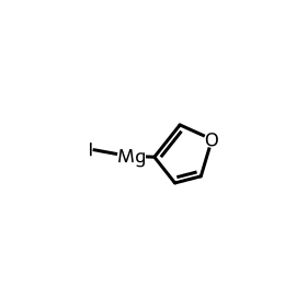 [I][Mg][c]1ccoc1